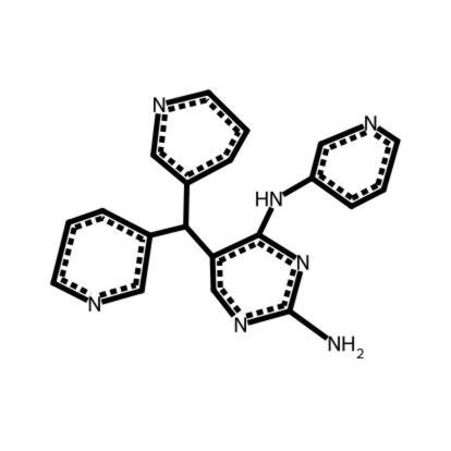 Nc1ncc(C(c2cccnc2)c2cccnc2)c(Nc2cccnc2)n1